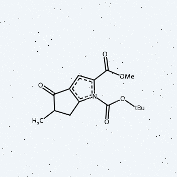 COC(=O)c1cc2c(n1C(=O)OC(C)(C)C)CC(C)C2=O